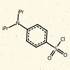 CC(C)N(c1ccc(S(=O)(=O)Cl)cc1)C(C)C